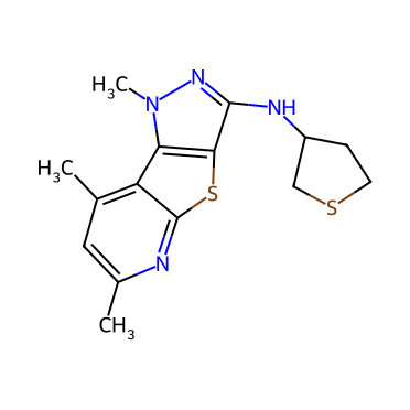 Cc1cc(C)c2c(n1)sc1c(NC3CCSC3)nn(C)c12